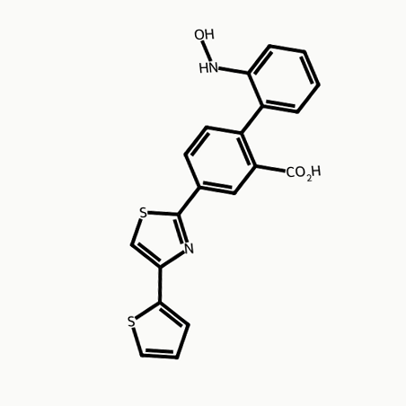 O=C(O)c1cc(-c2nc(-c3cccs3)cs2)ccc1-c1ccccc1NO